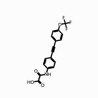 O=C(O)C(=O)Nc1ccc(C#Cc2ccc(OC(F)(F)F)cc2)cc1